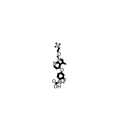 Cc1cn(COCC[Si](C)(C)C)c2nccc(Oc3ccc(NC(=O)O)c(F)c3)c12